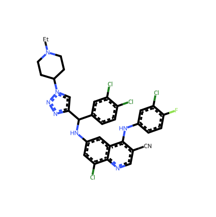 CCN1CCC(n2cc(C(Nc3cc(Cl)c4ncc(C#N)c(Nc5ccc(F)c(Cl)c5)c4c3)c3ccc(Cl)c(Cl)c3)nn2)CC1